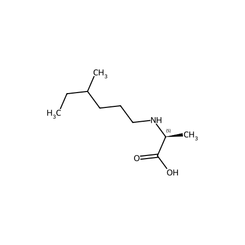 CCC(C)CCCN[C@@H](C)C(=O)O